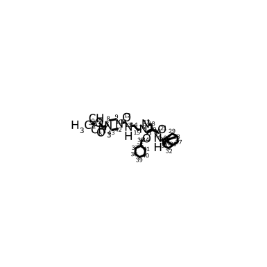 CC(C)(C)OC(=O)N1CCN(C(=O)NCCn2ncc(C(=O)NC3C4CC5CC(C4)CC3C5)c2OCC2CCCCC2)CC1